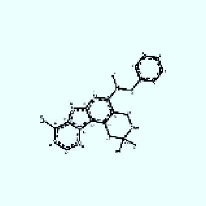 CN(Cc1ccccc1)c1nc2sc3c(Cl)ncnc3c2c2c1COC(C)(C)C2